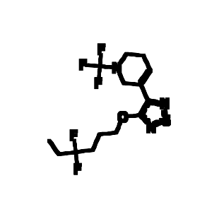 CCC(F)(F)CCCOc1nsnc1C1=CCCN(C(F)(F)F)C1